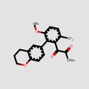 CCCCOc1ccc(C(F)(F)F)c(C(=O)C(=O)OC)c1-c1ccc2c(c1)CCCO2